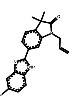 C=CCN1C(=O)C(C)(C)c2ccc(-c3nc4cc(F)ccc4[nH]3)cc21